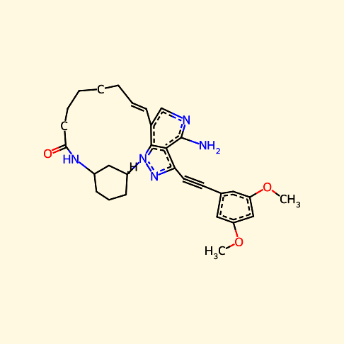 COc1cc(C#Cc2nn3c4c(cnc(N)c24)/C=C/CCCCCC(=O)NC2CCC[C@@H]3C2)cc(OC)c1